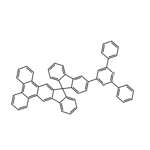 c1ccc(-c2cc(-c3ccc4c(c3)-c3ccccc3C43c4ccccc4-c4cc5c6ccccc6c6ccccc6c5cc43)nc(-c3ccccc3)n2)cc1